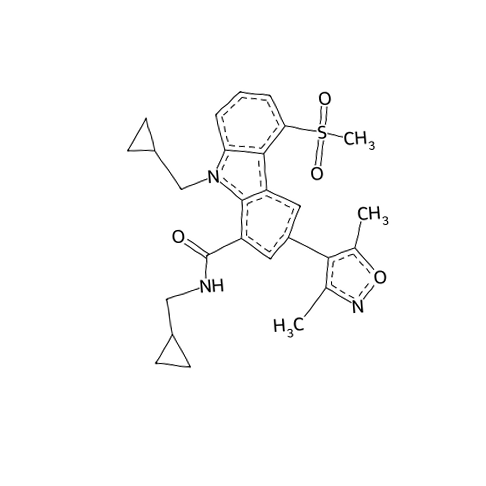 Cc1noc(C)c1-c1cc(C(=O)NCC2CC2)c2c(c1)c1c(S(C)(=O)=O)cccc1n2CC1CC1